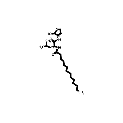 CCCCCCCCCCCCCC(=O)N[C@@H](CC(C)C)C(=O)N[C@H]1CCOC1O